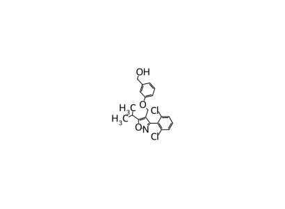 CC(C)c1onc(-c2c(Cl)cccc2Cl)c1COc1cccc(CO)c1